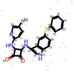 CCCc1ccc(NC2C(=O)C(=O)C2Nc2c[nH]c3ccc(Sc4ccccc4)cc23)nc1